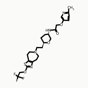 Cc1ccc(OCC(=O)N[C@H]2CC[C@H](CCN3CCc4nc(OCC(F)(F)F)sc4CC3)OC2)cn1